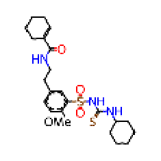 COc1ccc(CCNC(=O)C2=CCCCC2)cc1S(=O)(=O)NC(=S)NC1CCCCC1